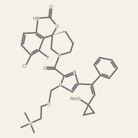 COC1(/C=C(/c2ccccc2)c2cn(COCC[Si](C)(C)C)c(C(=O)N3CCC[C@@]4(C3)OC(=O)Nc3ccc(Cl)c(F)c34)n2)CC1